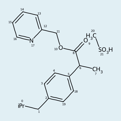 CC(C)Cc1ccc(C(C)C(=O)OCc2ccccn2)cc1.CS(=O)(=O)O